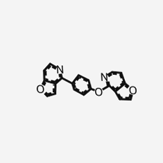 c1cc2occc2c(Oc2ccc(-c3nccc4occc34)cc2)n1